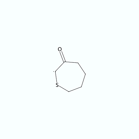 O=C1[CH]SCCCC1